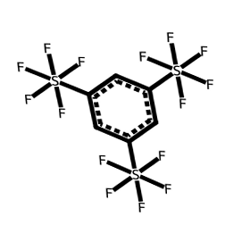 FS(F)(F)(F)(F)c1cc(S(F)(F)(F)(F)F)cc(S(F)(F)(F)(F)F)c1